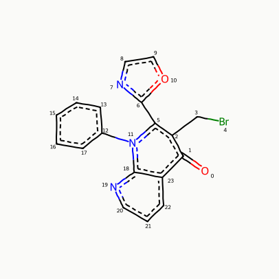 O=c1c(CBr)c(-c2ncco2)n(-c2ccccc2)c2ncccc12